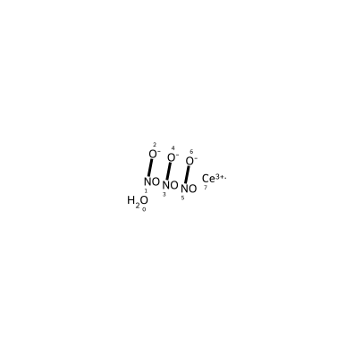 O.O=N[O-].O=N[O-].O=N[O-].[Ce+3]